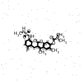 CNS(=O)(=O)Nc1ccc(F)c(Cc2c(C)c3cc(C)c(OC(=O)N(C)C)cc3oc2=O)c1